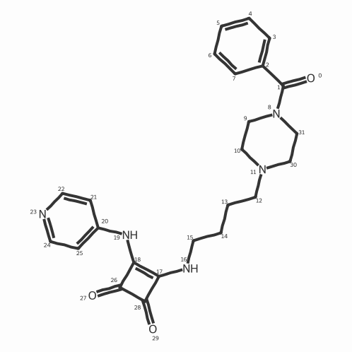 O=C(c1ccccc1)N1CCN(CCCCNc2c(Nc3ccncc3)c(=O)c2=O)CC1